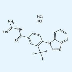 Cl.Cl.N=C(N)NC(=O)c1ccc(-n2cnc3ccccc32)c(C(F)(F)F)c1